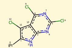 CC(C)c1[nH]c2nc(Cl)nc(Cl)c2c1Cl